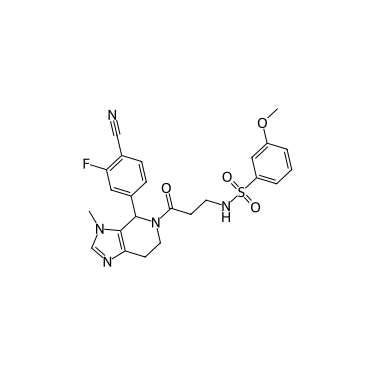 COc1cccc(S(=O)(=O)NCCC(=O)N2CCc3ncn(C)c3C2c2ccc(C#N)c(F)c2)c1